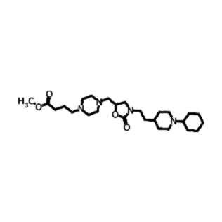 COC(=O)CCCN1CCN(CC2CN(CCC3CCN(C4CCCCC4)CC3)C(=O)O2)CC1